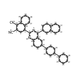 N#Cc1cc(-c2nc(-c3ccc4ccccc4c3)c3cc(-c4ccc(-c5ccccc5)cc4)ccc3n2)c2ccccc2c1Cl